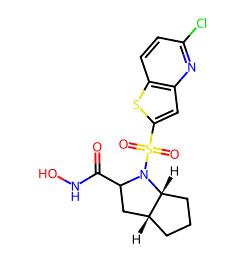 O=C(NO)C1C[C@H]2CCC[C@H]2N1S(=O)(=O)c1cc2nc(Cl)ccc2s1